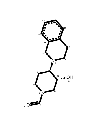 O=CN1CC[C@@H](N2CCc3ccccc3C2)[C@H](O)C1